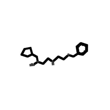 CCCCN(CCNCCSCc1ccccc1)CC1CCCC1